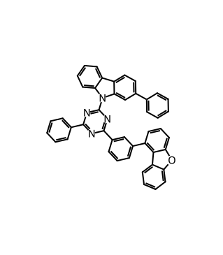 c1ccc(-c2ccc3c4ccccc4n(-c4nc(-c5ccccc5)nc(-c5cccc(-c6cccc7oc8ccccc8c67)c5)n4)c3c2)cc1